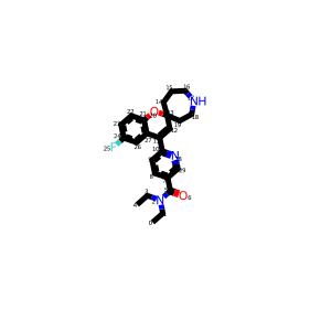 CCN(CC)C(=O)c1ccc(C2=CC3(CCCNCC3)Oc3ccc(F)cc32)nc1